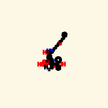 COC1(C#CC(O)(c2ccccc2)C2CCCCCCC2)C[N+]2(Cc3cc(C(O)CNCCCCCCOCCCCc4ccccc4)ccc3OCOP(=O)(O)O)CCC1CC2